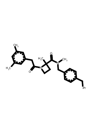 Cc1cc(C)cc(CC(=O)N2CCC2(C)C(=O)N(C)Cc2ccc(CC(C)C)cc2)c1